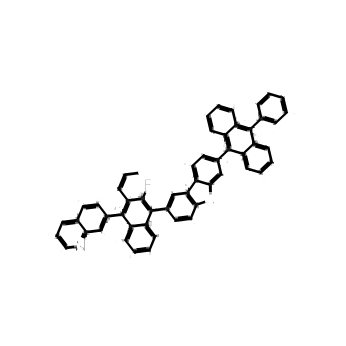 C/C=C\c1c(CC)c(-c2ccc3sc4cc(-c5c6ccccc6c(-c6ccccc6)c6ccccc56)ccc4c3c2)c2ccccc2c1-c1ccc2cccnc2c1